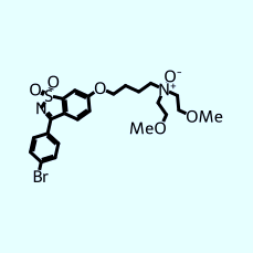 COCC[N+]([O-])(CCCCOc1ccc2c(c1)S(=O)(=O)N=C2c1ccc(Br)cc1)CCOC